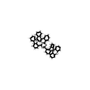 c1ccc2c(c1)Oc1ccccc1C21c2ccccc2-c2c(-c3nc(-c4ccccc4-c4cccc5ccccc45)nc(-c4cccc5c4oc4ccccc45)n3)cccc21